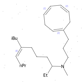 CCC/C=C(\CCCC(CC)N(C)CCC/C1=C/C/C=C\C=C/C1)C(C)CC